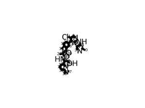 Cc1nccc(Nc2ncc(Cl)c(-c3ccc4c(c3)C(=O)N(C(C)C(=O)NC(CO)c3cccc(N(C)C)n3)C4)n2)n1